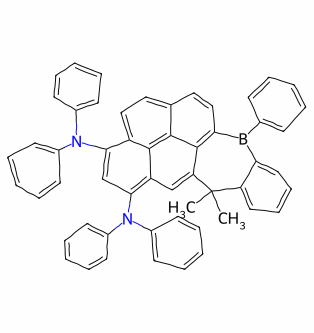 CC1(C)c2ccccc2B(c2ccccc2)c2ccc3ccc4c(N(c5ccccc5)c5ccccc5)cc(N(c5ccccc5)c5ccccc5)c5cc1c2c3c45